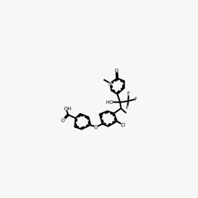 CC(c1ccc(Oc2ccc(C(=O)O)cc2)cc1Cl)C(O)(c1ccc(=O)n(C)c1)C(F)(F)F